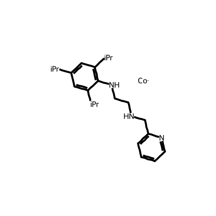 CC(C)c1cc(C(C)C)c(NCCNCc2ccccn2)c(C(C)C)c1.[Co]